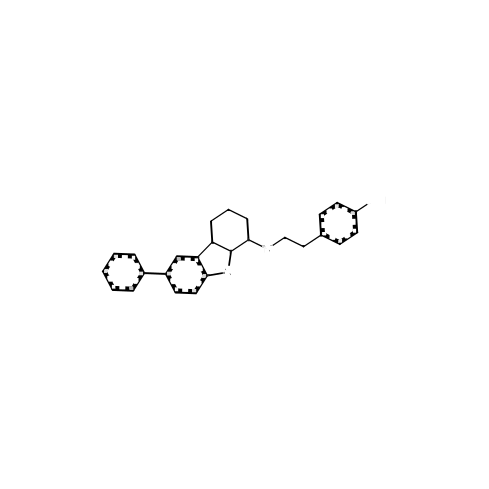 Oc1ccc(CCNC2CCCC3c4cc(-c5ccccc5)ccc4NC23)cc1